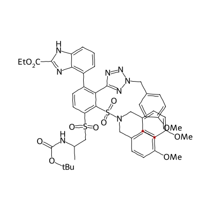 CCOC(=O)c1nc2c(-c3ccc(S(=O)(=O)CC(C)NC(=O)OC(C)(C)C)c(S(=O)(=O)N(Cc4ccc(OC)cc4)Cc4ccc(OC)cc4)c3-c3nnn(Cc4ccc(OC)cc4)n3)cccc2[nH]1